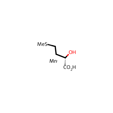 CSCC[C@H](O)C(=O)O.[Mn]